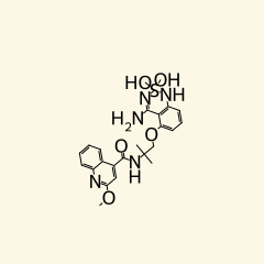 COc1cc(C(=O)NC(C)(C)COc2cccc3c2C(N)=NS(O)(O)N3)c2ccccc2n1